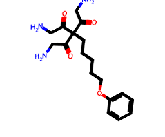 NCC(=O)C(CCCCCOc1ccccc1)(C(=O)CN)C(=O)CN